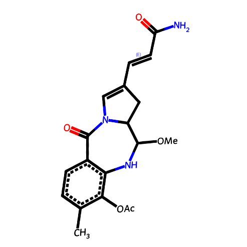 COC1Nc2c(ccc(C)c2OC(C)=O)C(=O)N2C=C(/C=C/C(N)=O)CC12